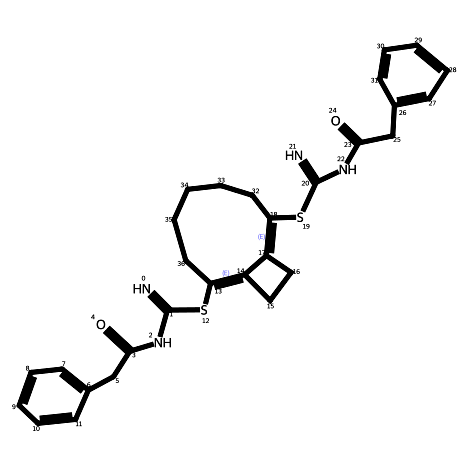 N=C(NC(=O)Cc1ccccc1)S/C1=C2\CC\C2=C(/SC(=N)NC(=O)Cc2ccccc2)CCCCC1